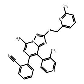 Cc1cccc(COc2nc3c(-c4ccncc4C)c(-c4ccccc4C#N)nc(N)n3n2)n1